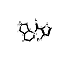 O=C(c1occc1Br)N1CCCC2CNCC21